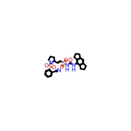 N#Cc1ccccc1S(=O)(=O)N1CCCC1/C=C/S(=O)(=O)NC(=O)Nc1c2c(cc3c1CCC3)CCC2